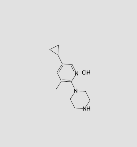 Cc1cc(C2CC2)cnc1N1CCNCC1.Cl